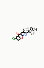 CCOC(=O)c1cc2c(=O)c3cc(Cl)ccc3oc2nc1C(CC)C(=O)O